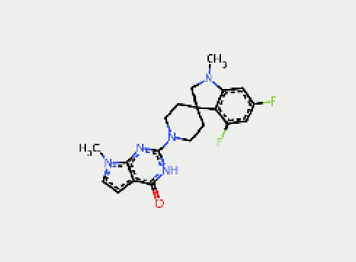 CN1CC2(CCN(c3nc4c(ccn4C)c(=O)[nH]3)CC2)c2c(F)cc(F)cc21